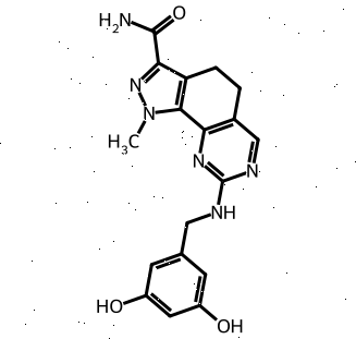 Cn1nc(C(N)=O)c2c1-c1nc(NCc3cc(O)cc(O)c3)ncc1CC2